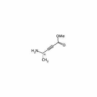 COC(=O)C#C[C@H](C)N